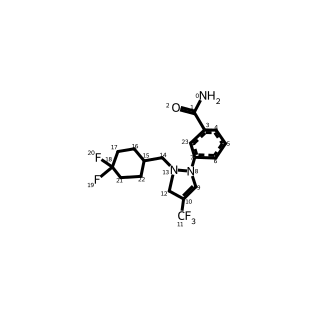 NC(=O)c1cccc(N2C=C(C(F)(F)F)CN2CC2CCC(F)(F)CC2)c1